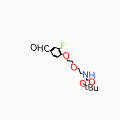 CC(C)(C)OC(=O)NCCOCCOc1ccc(C=O)cc1F